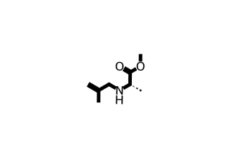 C=C(C)CN[C@@H](C)C(=O)OC